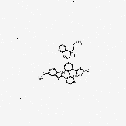 CCC[C@@H](NC(=O)c1ccc(-c2cc(Cl)ccc2-c2nc3cc(OC)ccc3[nH]2)c(-c2nc(=O)o[nH]2)c1)c1ccccc1